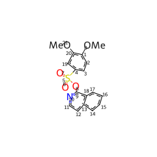 COc1ccc(S(=O)(=O)Oc2nccc3ccccc23)cc1OC